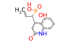 C=CC(c1cc(=O)[nH]c2ccccc12)P(=O)(O)O